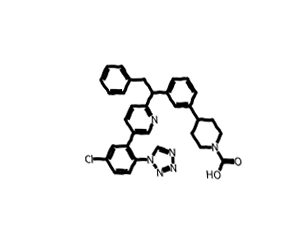 O=C(O)N1CCC(c2cccc(C(Cc3ccccc3)c3ccc(-c4cc(Cl)ccc4-n4cnnn4)cn3)c2)CC1